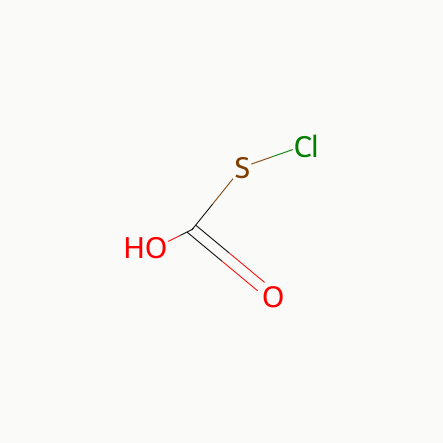 O=C(O)SCl